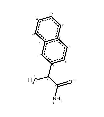 CC(C(N)=O)c1ccc2ccccc2c1